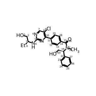 CC[C@@H](CO)Nc1ncc(Cl)c(-c2ccc(C(=O)N(C)[C@H](CO)c3ccccc3)cc2)n1